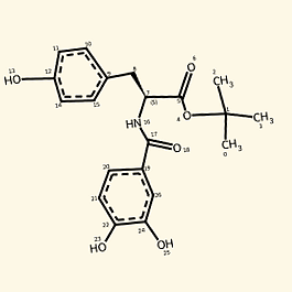 CC(C)(C)OC(=O)[C@H](Cc1ccc(O)cc1)NC(=O)c1ccc(O)c(O)c1